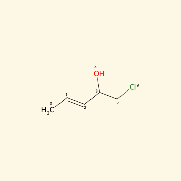 CC=CC(O)CCl